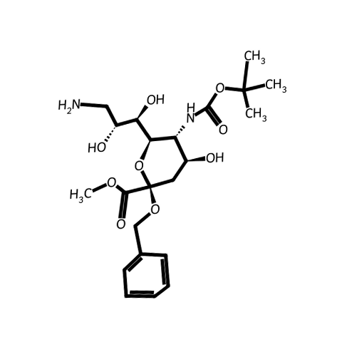 COC(=O)[C@@]1(OCc2ccccc2)C[C@H](O)[C@@H](NC(=O)OC(C)(C)C)[C@H]([C@H](O)[C@H](O)CN)O1